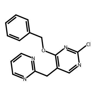 Clc1ncc(Cc2ncccn2)c(OCc2ccccc2)n1